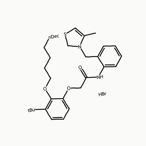 Br.CCCCCCCCCCCCCCOc1c(OCC(=O)Nc2ccccc2CN2CSC=C2C)cccc1C(C)(C)C